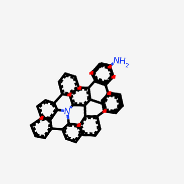 Nc1ccc(-c2ccc(N(c3ccccc3-c3ccccc3)c3ccccc3-c3ccccc3)c(-c3ccccc3-c3ccccc3)c2-c2ccccc2-c2ccccc2)cc1